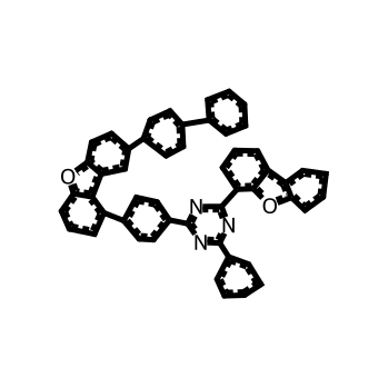 c1ccc(-c2ccc(-c3ccc4oc5cccc(-c6ccc(-c7nc(-c8ccccc8)nc(-c8cccc9c8oc8ccccc89)n7)cc6)c5c4c3)cc2)cc1